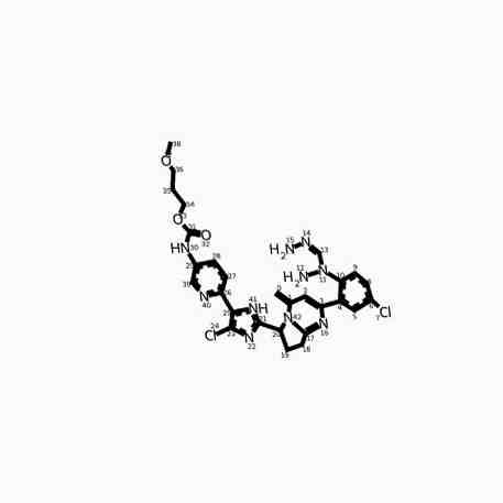 C=C1C=C(c2cc(Cl)ccc2N(N)/C=N\N)N=C2CCC(c3nc(Cl)c(-c4ccc(NC(=O)OCCCOC)cn4)[nH]3)N12